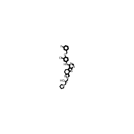 O[C@H](CN1CCCC1)Cn1cc2c(n1)CCc1c-2sc2ncnc(Nc3ccc(OCc4cccc(F)c4)c(Cl)c3)c12